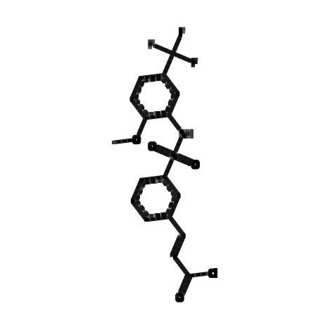 COc1ccc(C(F)(F)F)cc1NS(=O)(=O)c1cccc(/C=C/C(=O)Cl)c1